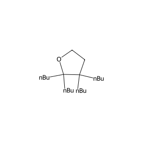 CCCCC1(CCCC)CCOC1(CCCC)CCCC